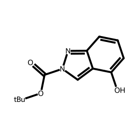 CC(C)(C)OC(=O)n1cc2c(O)cccc2n1